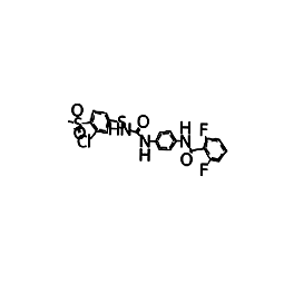 CS(=O)(=O)c1ccc(SNC(=O)Nc2ccc(NC(=O)c3c(F)cccc3F)cc2)cc1Cl